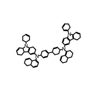 C1=CCCC(n2c3c(c4cc(N(C5=C6C=CCCC6CCC5)C5C=CC(C6=CCC(N(C7=CC8=C(CC7)N(C7CC=CCC7)C7C=CCCC87)C7=CC=CC8CCC=CC78)C=C6)CC5)ccc42)CCC=C3)=C1